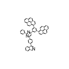 c1ccc(-c2nc(-c3ccc(-c4cncc5ccccc45)cc3)cc(-c3cc(-c4ccc5ccc6cccc7ccc4c5c67)cc(-c4ccc5ccc6cccc7ccc4c5c67)c3)n2)cc1